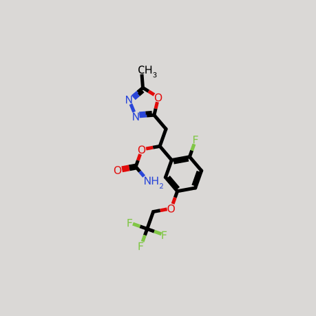 Cc1nnc(CC(OC(N)=O)c2cc(OCC(F)(F)F)ccc2F)o1